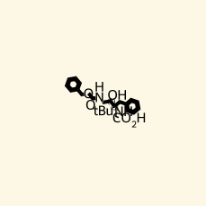 CC(C)(C)[C@](Cc1ccccc1)(NC(=O)O)[C@H](O)CNC(=O)OCc1ccccc1